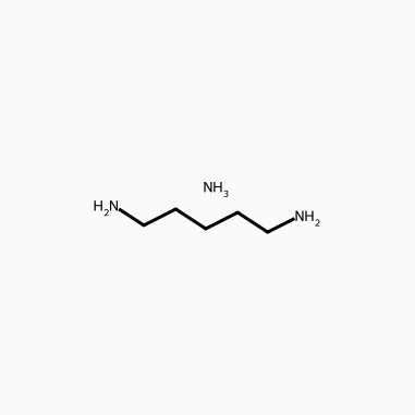 N.NCCCCCN